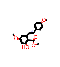 COC(=O)c1c(O)cc(OC)cc1/C=C/c1ccc(OC)cc1